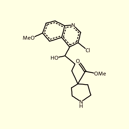 COC(=O)C1(CCC(O)c2c(Cl)cnc3ccc(OC)cc23)CCNCC1